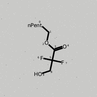 CCCCCCOC(=O)C(F)(F)CO